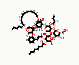 CCCCCCCC(=O)O[C@@H]1[C@@H](OC(=O)/C=C/c2ccccc2)[C@@H](O)[C@H](O[C@@H]2[C@@H](O[C@@H]3O[C@H](CO)[C@@H](O)[C@H](O)[C@H]3O)[C@@H](OC(=O)[C@@H](C)CC)[C@H](O[C@H]3[C@@H](O)[C@H]4OCCCCCCCCCC[C@H](CCCCC)O[C@@H]5O[C@H](C)[C@H](O)[C@H](O)[C@H]5O[C@H]4C[C@@H]3C)O[C@H]2C)O[C@H]1C